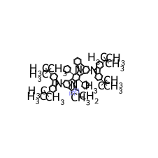 C=C/C=c1\c(=C/C)c2cc(-n3c4ccc(C(C)(C)C)cc4c4cc(C(C)(C)C)ccc43)cc3c4c(-c5ccccc5)c5c(c(-c6ccccc6)c4n1c23)c1cc(-n2c3ccc(C(C)(C)C)cc3c3cc(C(C)(C)C)ccc32)cc2c3ccccc3n5c21